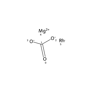 O=C([O-])[O-].[Mg+2].[Rh]